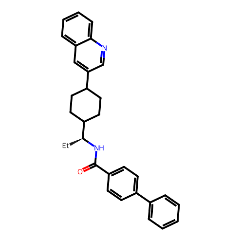 CC[C@H](NC(=O)c1ccc(-c2ccccc2)cc1)C1CCC(c2cnc3ccccc3c2)CC1